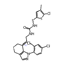 Cc1cc(SNC(=O)NC/C=C2\CCCc3cnn(-c4ccc(Cl)cc4Cl)c32)sc1Cl